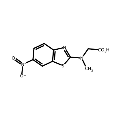 CN(CC(=O)O)c1nc2ccc([N+](=O)O)cc2s1